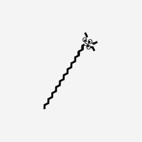 CCCCCCCCCCCCCCCCCCC=CC=C[Si](OCC)(OCC)OCC